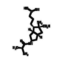 C[C@H](N)C(=O)N[C@H]1C[C@@H]2C[C@@](N)(C(=O)O)[C@@H](CCCB(O)O)[C@@H]2C1